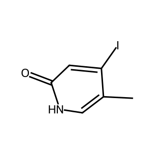 Cc1c[nH]c(=O)cc1I